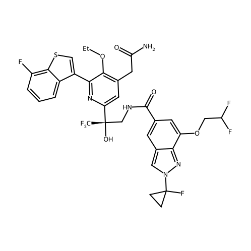 CCOc1c(CC(N)=O)cc([C@@](O)(CNC(=O)c2cc(OCC(F)F)c3nn(C4(F)CC4)cc3c2)C(F)(F)F)nc1-c1csc2c(F)cccc12